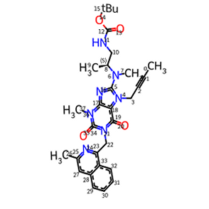 CC#CCn1c(N(C)[C@@H](C)CNC(=O)OC(C)(C)C)nc2c1c(=O)n(Cc1nc(C)cc3ccccc13)c(=O)n2C